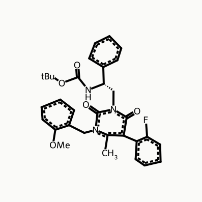 COc1ccccc1Cn1c(C)c(-c2ccccc2F)c(=O)n(C[C@H](NC(=O)OC(C)(C)C)c2ccccc2)c1=O